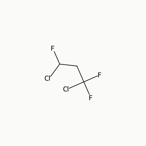 FC(Cl)CC(F)(F)Cl